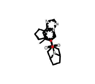 Cc1cc2ncnn2cc1C1CC2CCC(C1)N2S(=O)(=O)c1cnn2c1CCC2